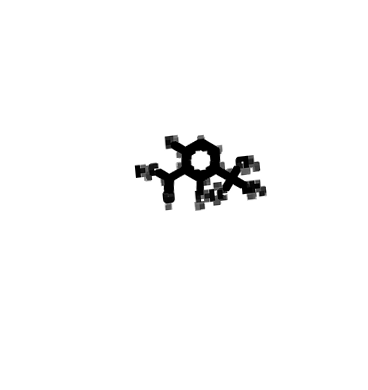 CC(=O)c1c(F)ccc(C(C)(C)N)c1F